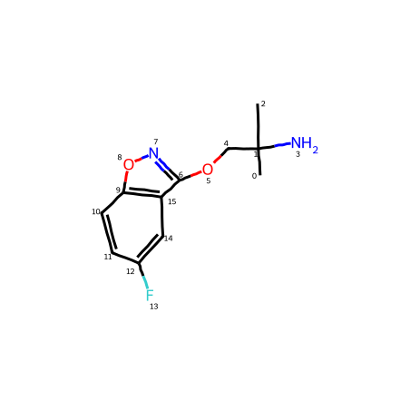 CC(C)(N)COc1noc2ccc(F)cc12